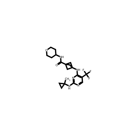 CC1(Nc2ncc(C(F)(F)F)c(NC34CC(C(=O)NC5CCOCC5)(C3)C4)n2)CC1